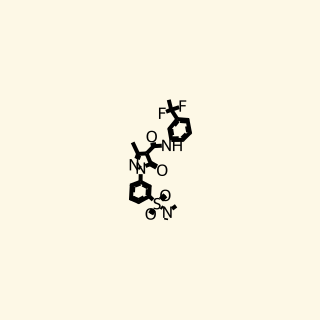 CC1=NN(c2cccc(S(=O)(=O)N(C)C)c2)C(=O)C1C(=O)Nc1cccc(C(C)(F)F)c1